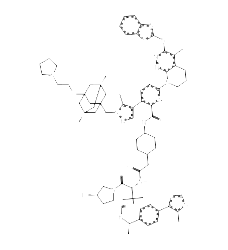 Cc1ncsc1-c1ccc([C@@H](C)NC(=O)[C@@H]2C[C@@H](O)CN2C(=O)[C@@H](NC(=O)CC2CCC(NC(=O)c3nc(N4CCCc5c4nnc(Nc4nc6ccccc6s4)c5C)ccc3-c3cnn(CC45CC6(OCCN7CCCC7)C[C@](C)(C4)C[C@](C)(C5)C6)c3C)CC2)C(C)(C)C)cc1